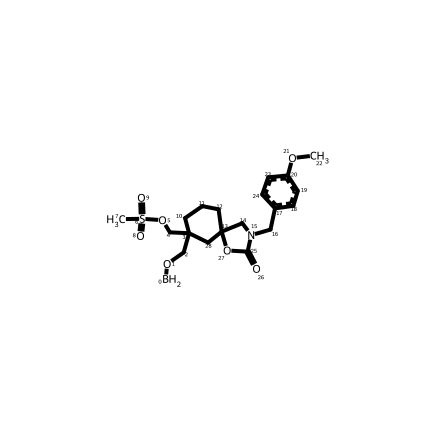 BOCC1(COS(C)(=O)=O)CCCC2(CN(Cc3ccc(OC)cc3)C(=O)O2)C1